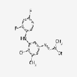 CCN(C)C=Nc1cc(C)c(Cl)c(Nc2ccc(F)cc2F)c1